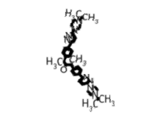 CC(C(=O)C(C)c1ccc(-c2ccc(N3CCN(C(C)C)CC3)nn2)cc1)c1ccc(-c2ccc(N3CCN(C(C)C)CC3)nn2)cc1